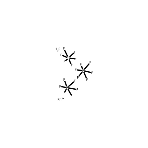 F[P-](F)(F)(F)(F)F.F[P-](F)(F)(F)(F)F.F[P-](F)(F)(F)(F)F.P.[Rh+3]